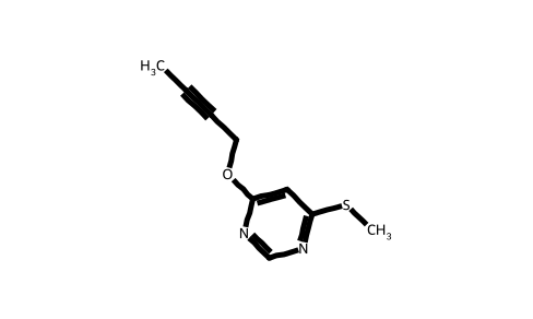 CC#CCOc1cc(SC)ncn1